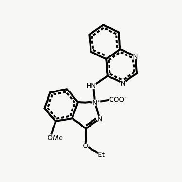 CCOC1=N[N+](Nc2ncnc3ccccc23)(C(=O)[O-])c2cccc(OC)c21